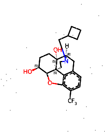 O[C@H]1CC[C@@]2(O)[C@H]3Cc4ccc(C(F)(F)F)c5c4[C@@]2(CCN3CC2CCC2)C1O5